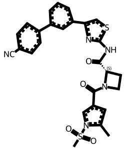 Cc1cc(C(=O)N2CC[C@H]2C(=O)Nc2nc(-c3cccc(-c4ccc(C#N)cc4)c3)cs2)cn1S(C)(=O)=O